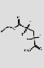 CCOC(=O)C(F)(F)CC(F)(F)C(=O)O